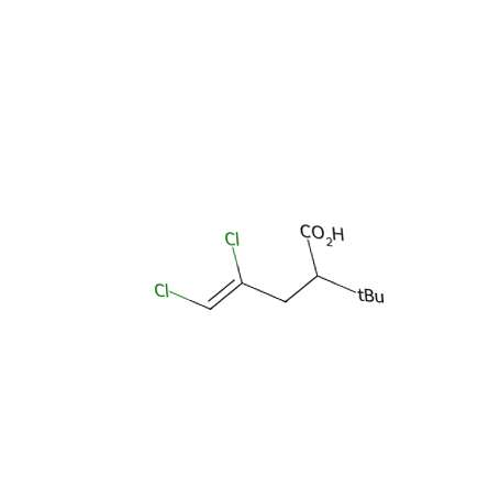 CC(C)(C)C(C/C(Cl)=C/Cl)C(=O)O